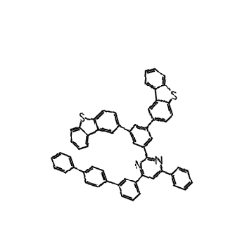 c1ccc(-c2ccc(-c3cccc(-c4cc(-c5ccccc5)nc(-c5cc(-c6ccc7sc8ccccc8c7c6)cc(-c6ccc7sc8ccccc8c7c6)c5)n4)c3)cc2)cc1